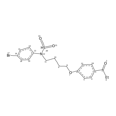 CCC(=O)c1ccc(OCCCCN(c2ccc(Br)cc2)[SH](=O)=O)cc1